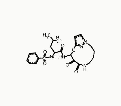 CC(C)CC(NS(=O)(=O)c1ccccc1)C(=O)NC1Cc2ccn(n2)CCCCNC(=O)C1=O